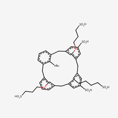 CCCCc1c2cccc1Cc1cc(S(=O)(=O)O)cc(c1OCCCS(=O)(=O)O)Cc1cc(S(=O)(=O)O)cc(c1CCCCS(=O)(=O)O)Cc1cccc(c1OCCCS(=O)(=O)O)C2